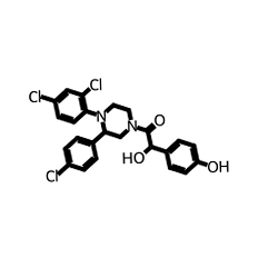 O=C(C(O)c1ccc(O)cc1)N1CCN(c2ccc(Cl)cc2Cl)C(c2ccc(Cl)cc2)C1